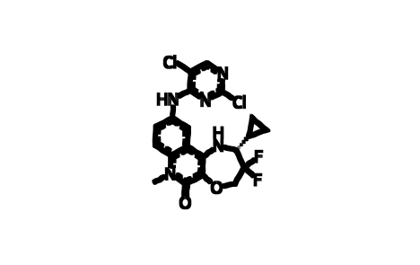 Cn1c(=O)c2c(c3cc(Nc4nc(Cl)ncc4Cl)ccc31)N[C@H](C1CC1)C(F)(F)CO2